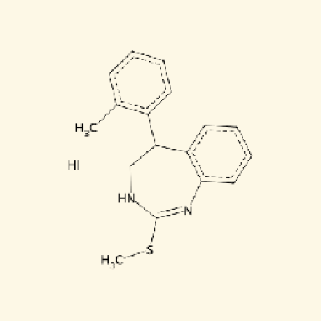 CSC1=Nc2ccccc2C(c2ccccc2C)CN1.I